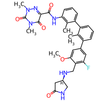 COc1cc(-c2cccc(-c3cccc(NC(=O)c4nn(C)c(=O)n(C)c4=O)c3C)c2C)cc(F)c1CN[C@H]1CNC(=O)C1